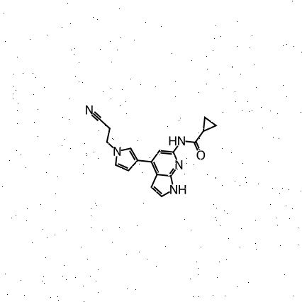 N#CCCn1ccc(-c2cc(NC(=O)C3CC3)nc3[nH]ccc23)c1